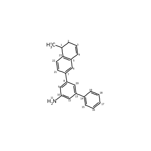 CC1CC=Cc2cc(-c3cc(N)cc(-c4ccccc4)c3)ccc21